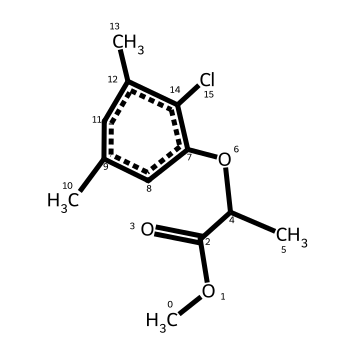 COC(=O)C(C)Oc1cc(C)cc(C)c1Cl